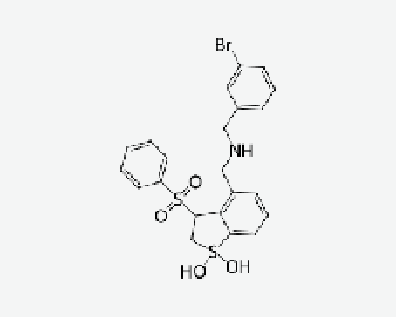 O=S(=O)(c1ccccc1)C1CS(O)(O)c2cccc(CNCc3cccc(Br)c3)c21